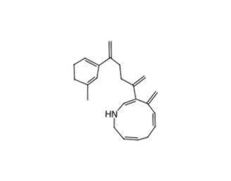 C=C(CCC(=C)/C1=C/NC/C=C\CC=CC1=C)C1=CCCC(C)=C1